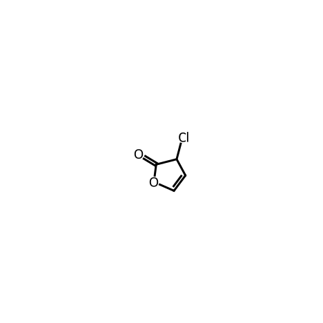 O=C1OC=CC1Cl